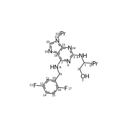 CC(C)C(CO)Nc1nc(NCc2cc(F)ccc2F)c2ncn(C(C)C)c2n1